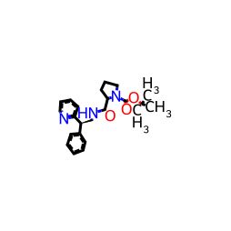 CC(C)(C)OC(=O)N1CCCC1C(=O)NC[C@@H](c1ccccc1)c1ccccn1